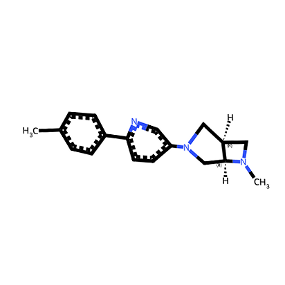 Cc1ccc(-c2ccc(N3C[C@H]4CN(C)[C@H]4C3)cn2)cc1